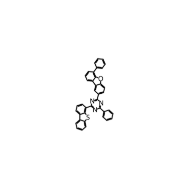 c1ccc(-c2nc(-c3ccc4oc5c(-c6ccccc6)cccc5c4c3)nc(-c3cccc4c3sc3ccccc34)n2)cc1